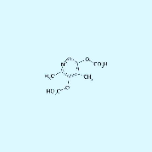 Cc1ncc(OC(=O)O)c(C)c1OC(=O)O